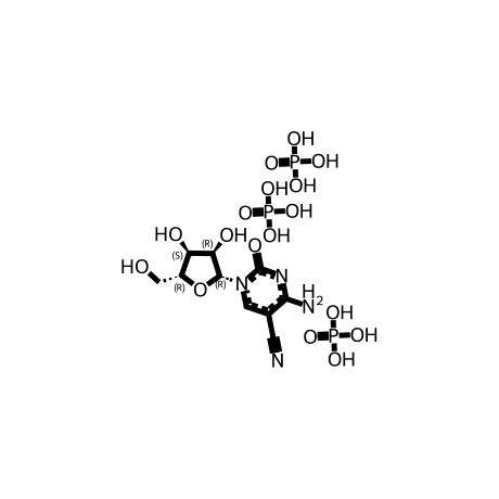 N#Cc1cn([C@@H]2O[C@H](CO)[C@@H](O)[C@H]2O)c(=O)nc1N.O=P(O)(O)O.O=P(O)(O)O.O=P(O)(O)O